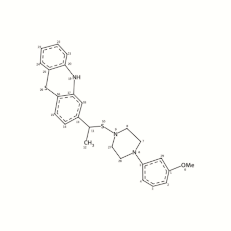 COc1cccc(N2CCN(SC(C)c3ccc4c(c3)Nc3ccccc3S4)CC2)c1